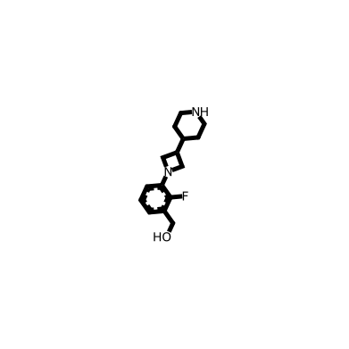 OCc1cccc(N2CC(C3CCNCC3)C2)c1F